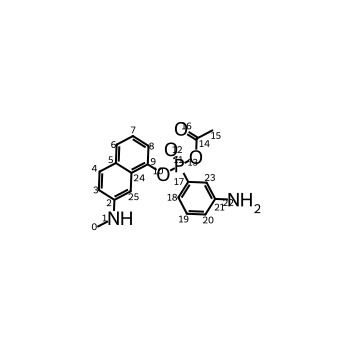 CNc1ccc2cccc(OP(=O)(OC(C)=O)c3cccc(N)c3)c2c1